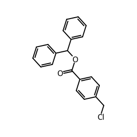 O=C(OC(c1ccccc1)c1ccccc1)c1ccc(CCl)cc1